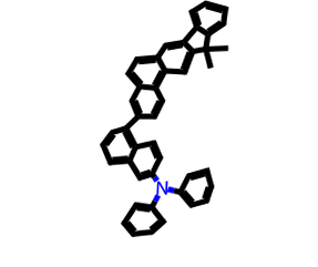 CC1(C)c2ccccc2-c2cc3ccc4cc(-c5cccc6cc(N(c7ccccc7)c7ccccc7)ccc56)ccc4c3cc21